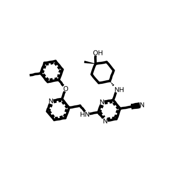 Cc1cccc(Oc2ncccc2CNc2ncc(C#N)c(N[C@H]3CC[C@@](C)(O)CC3)n2)c1